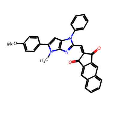 COc1ccc(-c2cc3c(nc(C=C4C(=O)c5cc6ccccc6cc5C4=O)n3-c3ccccc3)n2C)cc1